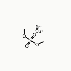 COS(=O)(=O)OC.[Br-].[Cu+]